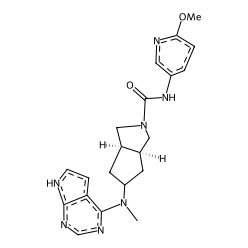 COc1ccc(NC(=O)N2C[C@H]3CC(N(C)c4ncnc5[nH]ccc45)C[C@H]3C2)cn1